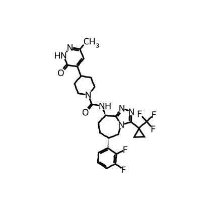 Cc1cc(C2CCN(C(=O)N[C@@H]3CC[C@@H](c4cccc(F)c4F)Cn4c3nnc4C3(C(F)(F)F)CC3)CC2)c(=O)[nH]n1